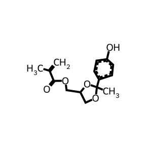 C=C(C)C(=O)OCC1COC(C)(c2ccc(O)cc2)O1